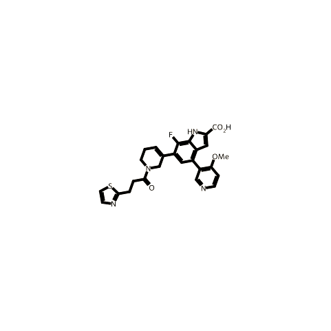 COc1ccncc1-c1cc(C2=CCCN(C(=O)CCc3nccs3)C2)c(F)c2[nH]c(C(=O)O)cc12